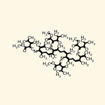 COC(=O)C(=C=NC(=C(C)C)/C(C)=C\C/C(C)=C(N=C=C(C(=O)OC)C(=O)C(C)C)\C(C)=C/C/C(C)=C(N=C=C(C(=O)OC)C(=O)C(C)C)\C(C)=C/C/C(C)=C(/N=C=C(C(=O)OC)C(=O)C(C)C)C(C)=C(C)C)C(=O)C(C)C